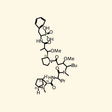 CCC(C)C(C(CC(=O)N1CCC[C@H]1C(OC)C(C)C(=O)NC(Cc1ccccc1)P(=O)(O)O)OC)N(C)C(=O)C(NC(=O)[C@@H]1[C@H]2CC[C@H](C2)N1C)C(C)C